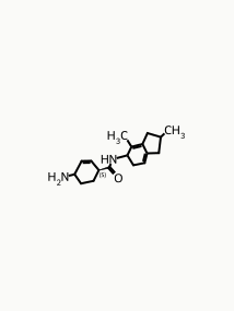 CC1=C2CC(C)CC2=CCC1NC(=O)[C@@H]1C=CC(N)CC1